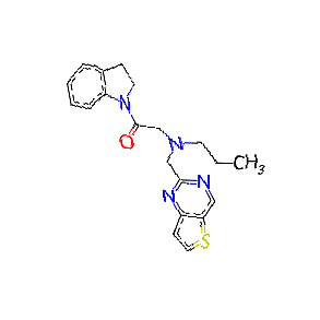 CCCN(CC(=O)N1CCc2ccccc21)Cc1ncc2sccc2n1